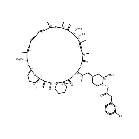 CO[C@H]1C[C@@H]2CC[C@@H](C)[C@@](O)(O2)C(=O)C(=O)N2CCCC[C@H]2C(=O)O[C@H]([C@H](C)C[C@@H]2CC[C@@H](OC(=O)C[n+]3cccc(O)c3)[C@H](OC)C2)CC(=O)[C@H](C)/C=C(\C)[C@@H](O)[C@@H](OC)C(=O)[C@H](C)C[C@H](C)/C=C/C=C/C=C/1C